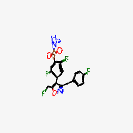 NS(=O)(=O)c1cc(F)c(-c2c(-c3ccc(F)cc3)noc2CF)cc1F